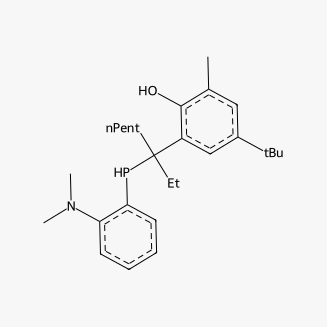 CCCCCC(CC)(Pc1ccccc1N(C)C)c1cc(C(C)(C)C)cc(C)c1O